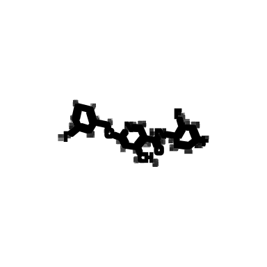 Cc1cc(OCc2cccc(F)c2)ncc1C(=O)Nc1ccc(F)cc1F